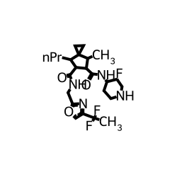 CCCC1C(C(=O)NCc2nc(C(C)(F)F)co2)C(C(=O)NC2CCNCC2F)C(C)C12CC2